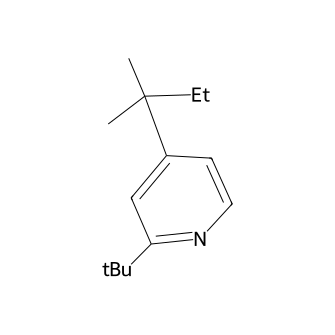 CCC(C)(C)c1ccnc(C(C)(C)C)c1